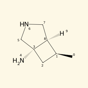 C[C@H]1C[C@@]2(N)CNC[C@@H]12